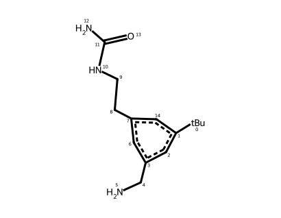 CC(C)(C)c1cc(CN)cc(CCNC(N)=O)c1